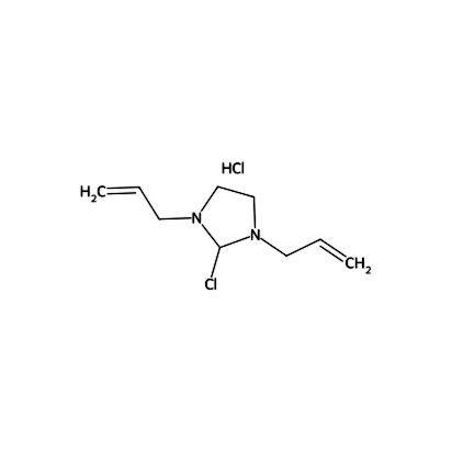 C=CCN1CCN(CC=C)C1Cl.Cl